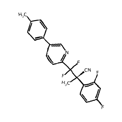 Cc1ccc(-c2ccc(C(F)(F)[C@](C)(C#N)c3ccc(F)cc3F)nc2)cc1